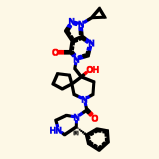 O=C(N1CCC(O)(Cn2cnc3c(cnn3C3CC3)c2=O)C2(CCCC2)C1)N1CCNC[C@H]1c1ccccc1